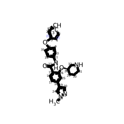 C#C/C=C(\C=C/C)Oc1ccc(NC(=O)c2ccc(-c3cnn(C)c3)cc2O[C@@H]2CCCNC2)cc1